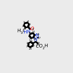 Cc1ccccc1C(=O)Nc1ccc2c(c1)ncn2C(CC(=O)O)c1ccccc1